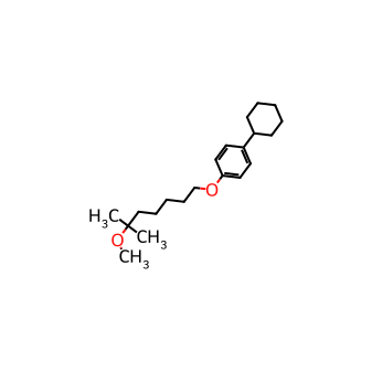 COC(C)(C)CCCCCOc1ccc(C2CCCCC2)cc1